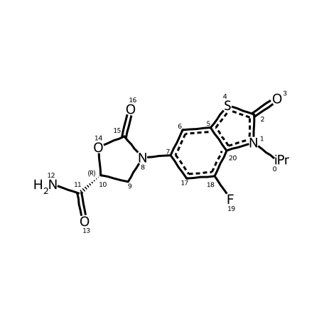 CC(C)n1c(=O)sc2cc(N3C[C@H](C(N)=O)OC3=O)cc(F)c21